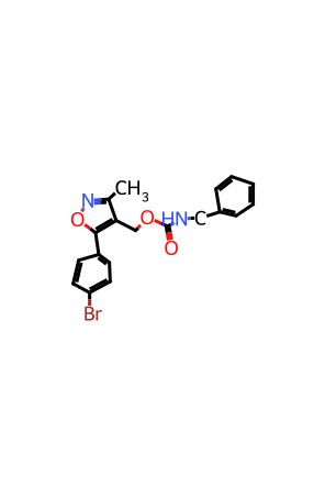 Cc1noc(-c2ccc(Br)cc2)c1COC(=O)NCc1ccccc1